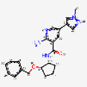 Cn1cc(-c2cnc(N)c(C(=O)N[C@@H]3CCC[C@H]3OCc3ccccc3)c2)cn1